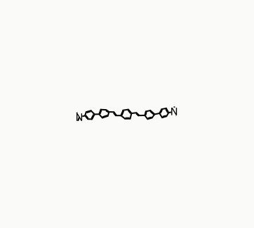 CN(C)c1ccc(-c2ccc(C=Cc3ccc(C=Cc4ccc(-c5ccc(N(C)C)cc5)cc4)cc3)cc2)cc1